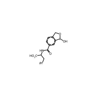 CC(C)CC(NC(=O)c1ccc2c(c1)B(O)OC2)C(=O)O